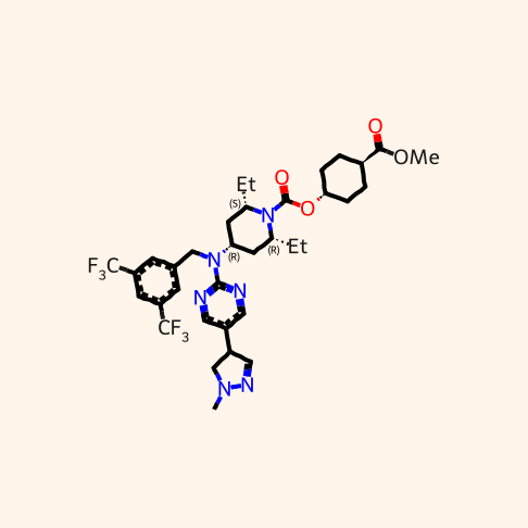 CC[C@@H]1C[C@H](N(Cc2cc(C(F)(F)F)cc(C(F)(F)F)c2)c2ncc(C3C=NN(C)C3)cn2)C[C@H](CC)N1C(=O)O[C@H]1CC[C@H](C(=O)OC)CC1